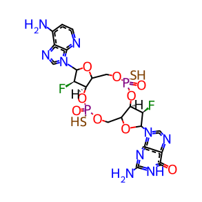 Nc1nc2c(ncn2C2OC3COP(=O)(S)O[C@@H]4C(COP(=O)(S)O[C@H]3[C@H]2F)OC(n2cnc3c(N)ccnc32)[C@@H]4F)c(=O)[nH]1